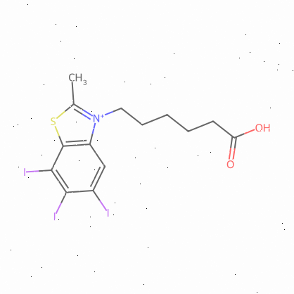 Cc1sc2c(I)c(I)c(I)cc2[n+]1CCCCCC(=O)O